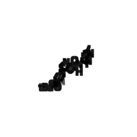 Cc1cn2cc(NC(=O)N3CCc4c(N5CCN(C(=O)OC(C)(C)C)[C@@H](C)C5)ccnc43)c(C)nc2n1